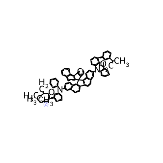 C=C(c1oc2c(N(c3ccccc3)c3ccc4c5c(ccc4c3)-c3ccc4cc(N(c6ccccc6)c6cccc7c6oc6c(C(C)C)cccc67)ccc4c3C53c4ccccc4-c4c3ccc3ccccc43)cccc2c1/C=C\C)C(C)C